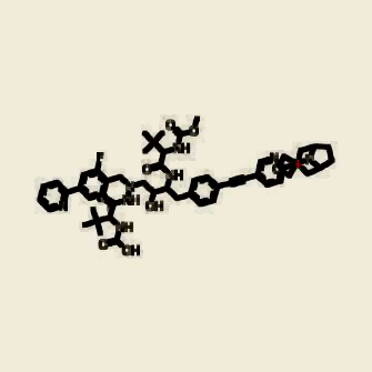 COC(=O)NC(C(=O)NC(Cc1ccc(C#Cc2ccc(N3CC4CCC(C3)N4C3COC3)nc2)cc1)C(O)CN(Cc1c(F)cc(-c2ccccn2)cc1F)NC(=O)C(NC(=O)O)C(C)(C)C)C(C)(C)C